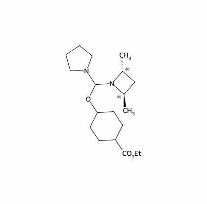 CCOC(=O)C1CCC(OC(N2CCCC2)N2[C@H](C)C[C@H]2C)CC1